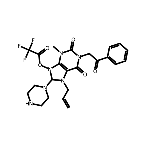 C=CCN1c2c(n(C)c(=O)n(CC(=O)c3ccccc3)c2=O)N(OC(=O)C(F)(F)F)C1N1CCNCC1